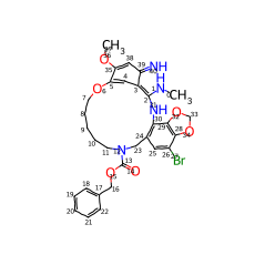 CN/C1=C2/C=C(OCCCCCN(C(=O)OCc3ccccc3)Cc3cc(Br)c4c(c3N1)OCO4)C(OC)=CC2=N